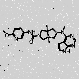 COc1ccc(NC(=O)N2C[C@]3(C)C[C@@H](N(C)c4ncnc5[nH]ccc45)C[C@]3(C)C2)cn1